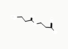 CCCC(=O)OCCC([O])=O